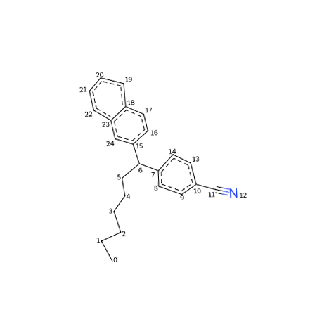 CCCCCCC(c1ccc(C#N)cc1)c1ccc2ccccc2c1